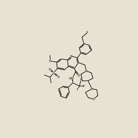 COc1cc2nc(-c3cccc(CF)c3)c(CN3CCC(N4CCOCC4)CC3)c(C(=O)N[C@H](c3ccccc3)C(F)(F)F)c2cc1S(=O)(=O)C(C)C